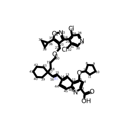 O=C(O)c1cc(OC2CCCC2)c2cc(/C=C/C3(CCCOCc4c(-c5c(Cl)cncc5Cl)noc4C4CC4)CCCCC3)ccc2n1